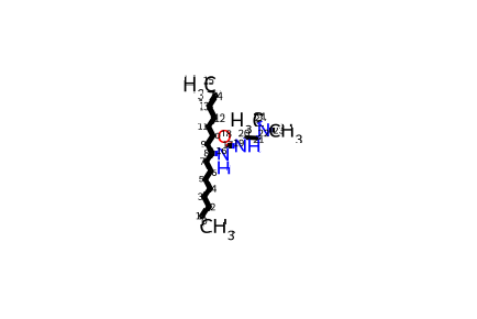 CCCCCCCCC(CCCCCCC)NC(=O)NCCN(C)C